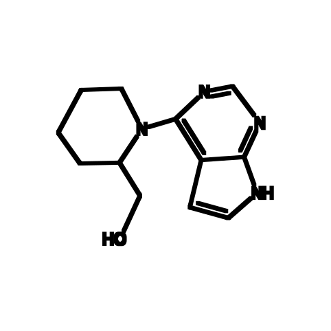 OCC1CCCCN1c1ncnc2[nH]ccc12